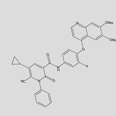 COc1cc2nccc(Oc3ccc(NC(=O)c4cc(C5CC5)c(C#N)n(-c5ccccc5)c4=O)cc3F)c2cc1OC